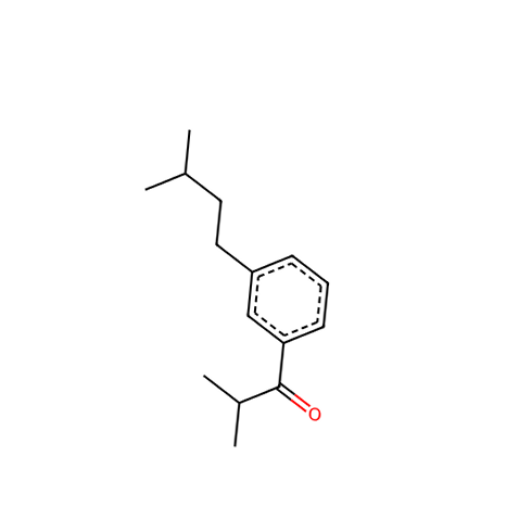 CC(C)CCc1cccc(C(=O)C(C)C)c1